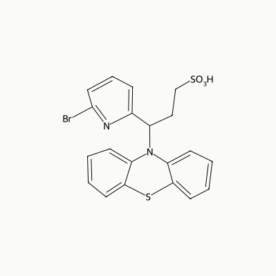 O=S(=O)(O)CCC(c1cccc(Br)n1)N1c2ccccc2Sc2ccccc21